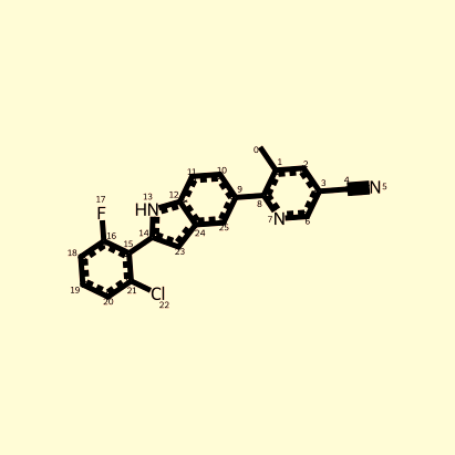 Cc1cc(C#N)cnc1-c1ccc2[nH]c(-c3c(F)cccc3Cl)cc2c1